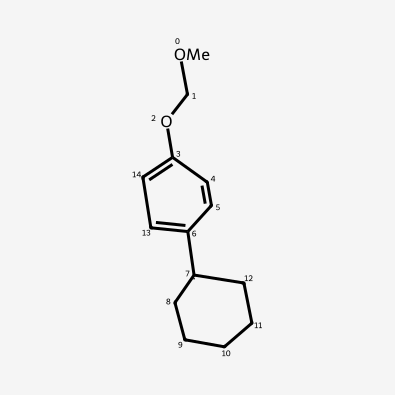 COCOc1ccc([C]2CCCCC2)cc1